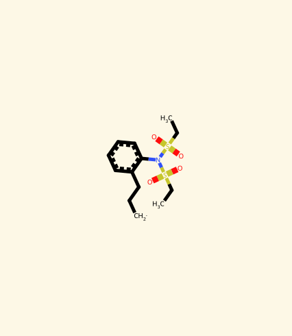 [CH2]CCc1ccccc1N(S(=O)(=O)CC)S(=O)(=O)CC